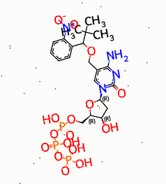 CC(C)(C)C(OCc1cn([C@H]2C[C@@H](O)[C@@H](COP(=O)(O)OP(=O)(O)OP(=O)(O)O)O2)c(=O)nc1N)c1ccccc1[N+](=O)[O-]